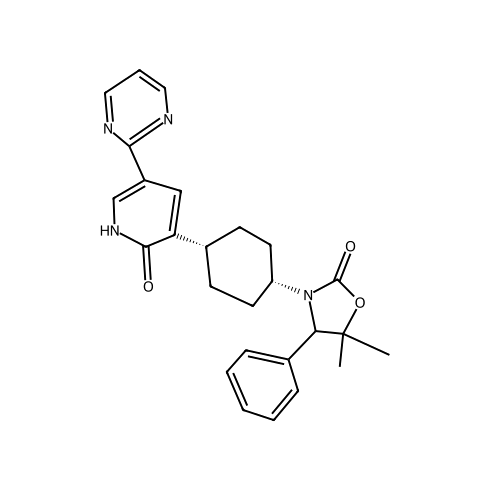 CC1(C)OC(=O)N([C@H]2CC[C@@H](c3cc(-c4ncccn4)c[nH]c3=O)CC2)C1c1ccccc1